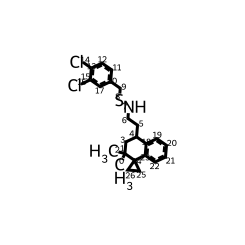 CC1(C)CC(CCNSCc2ccc(Cl)c(Cl)c2)c2ccccc2C12CC2